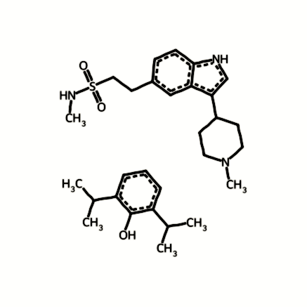 CC(C)c1cccc(C(C)C)c1O.CNS(=O)(=O)CCc1ccc2[nH]cc(C3CCN(C)CC3)c2c1